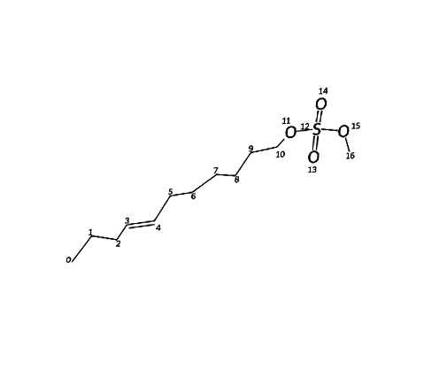 CCCC=CCCCCCCOS(=O)(=O)OC